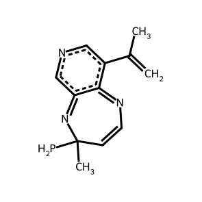 C=C(C)c1cncc2c1=NC=CC(C)(P)N=2